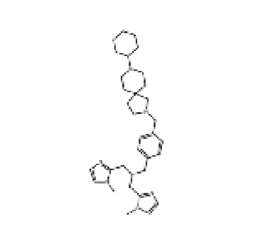 Cn1ccnc1CN(Cc1ccc(CN2CCC3(CCN(C4CCCCC4)CC3)C2)cc1)Cc1nccn1C